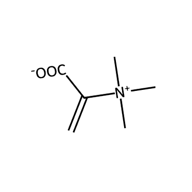 C=C(C(=O)[O-])[N+](C)(C)C